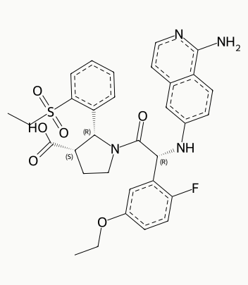 CCOc1ccc(F)c([C@@H](Nc2ccc3c(N)nccc3c2)C(=O)N2CC[C@H](C(=O)O)[C@@H]2c2ccccc2S(=O)(=O)CC)c1